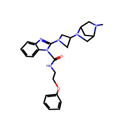 CN1CC2CC1CN2C1CN(c2nc3ccccc3n2C(=O)NCCOc2ccccc2)C1